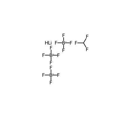 FC(F)F.F[B-](F)(F)F.F[B-](F)(F)F.F[B-](F)(F)F.[LiH]